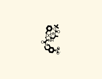 CC(CC(=O)N[C@H](COCc1ccccc1)C(=O)N1CCc2ccc([N+](=O)[O-])cc2C1)NC(=O)OC(C)(C)C